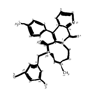 Cc1ccc(-c2c3n(c(=O)c4ncccc24)CC[C@@H](C)CN(Cc2cc(Cl)cc(Cl)c2)C3=O)cc1